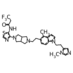 Cc1c(CCN2CC3CN(c4ncsc4NC(=O)CC(F)(F)F)CC3C2)ccc2c1ccn2CCc1cncn1C